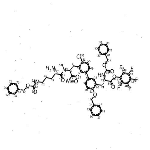 COC(=O)[C@H](Cc1cc(-c2ccc(OCc3ccccc3)c(C[C@H](NC(=O)OCc3ccccc3)C(=O)Oc3c(F)c(F)c(F)c(F)c3F)c2)ccc1Cl)N(C)C(=O)[C@@H](N)CCCNC(=O)OCc1ccccc1